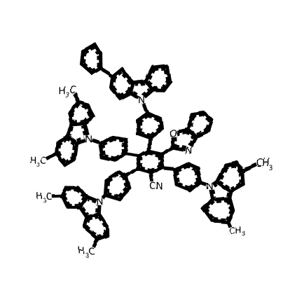 Cc1ccc2c(c1)c1cc(C)ccc1n2-c1ccc(-c2c(C#N)c(-c3ccc(-n4c5ccc(C)cc5c5cc(C)ccc54)cc3)c(-c3nc4ccccc4o3)c(-c3ccc(-n4c5ccccc5c5cc(-c6ccccc6)ccc54)cc3)c2-c2ccc(-n3c4ccc(C)cc4c4cc(C)ccc43)cc2)cc1